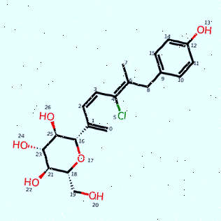 C=C(/C=C\C(Cl)=C(/C)Cc1ccc(O)cc1)[C@@H]1O[C@H](CO)[C@@H](O)[C@H](O)[C@H]1O